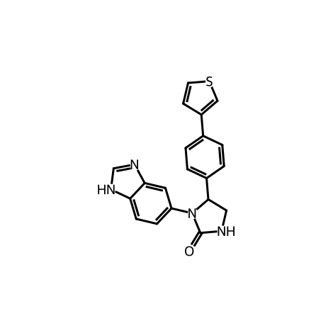 O=C1NCC(c2ccc(-c3ccsc3)cc2)N1c1ccc2[nH]cnc2c1